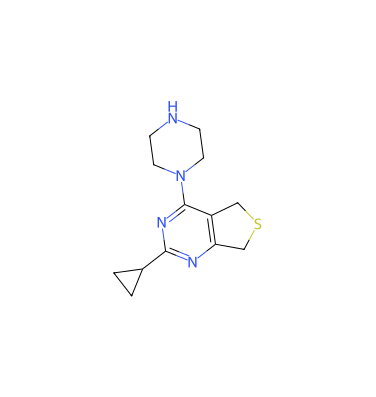 C1CN(c2nc(C3CC3)nc3c2CSC3)CCN1